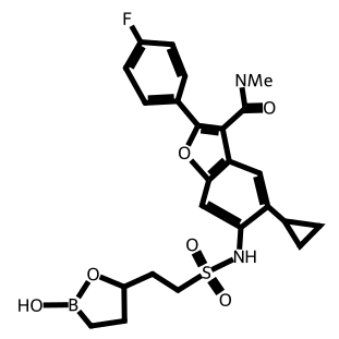 CNC(=O)c1c(-c2ccc(F)cc2)oc2cc(NS(=O)(=O)CCC3CCB(O)O3)c(C3CC3)cc12